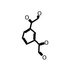 O=CC(=O)c1cccc(C(=O)C=O)c1